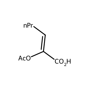 CCC/C=C(\OC(C)=O)C(=O)O